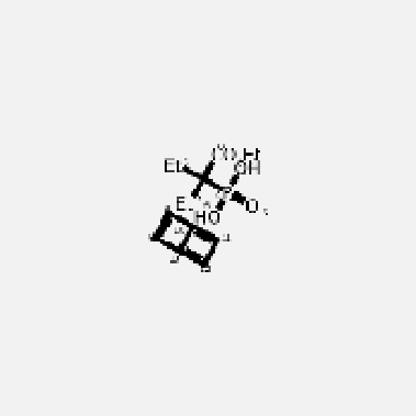 CCOC(=O)C(CC)(CC)P(=O)(O)O.c1cc2ccc1-2